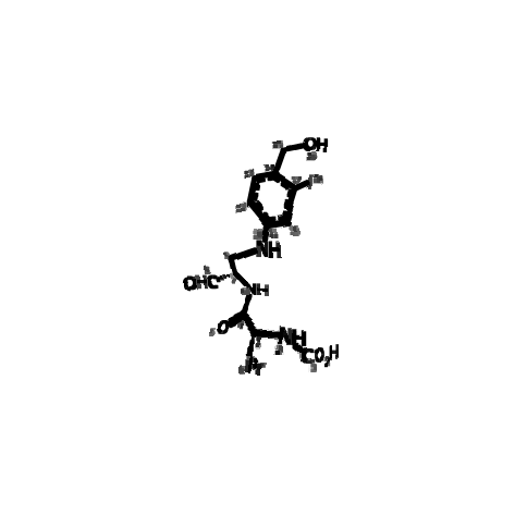 CC(C)[C@H](NC(=O)O)C(=O)N[C@H](C=O)CNc1ccc(CO)c(I)c1